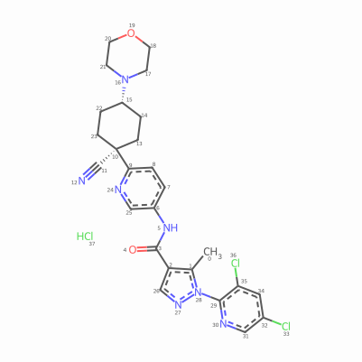 Cc1c(C(=O)Nc2ccc([C@]3(C#N)CC[C@@H](N4CCOCC4)CC3)nc2)cnn1-c1ncc(Cl)cc1Cl.Cl